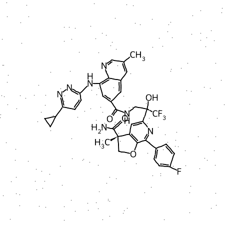 Cc1cnc2c(Nc3ccc(C4CC4)nn3)cc(C(=O)NCC(O)(c3cc4c(c(-c5ccc(F)cc5)n3)OC[C@]4(C)C(N)=O)C(F)(F)F)cc2c1